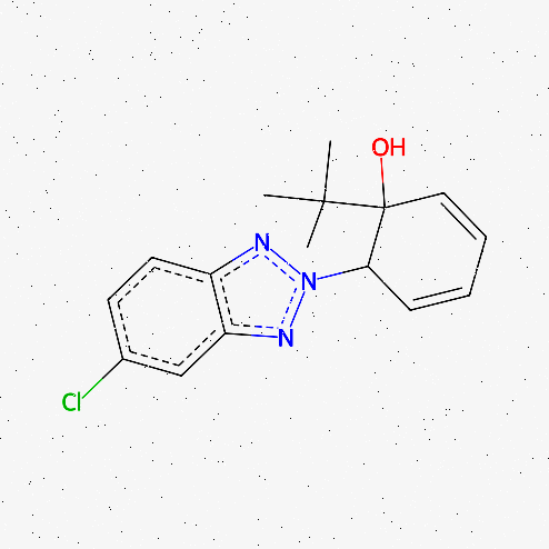 CC(C)(C)C1(O)C=CC=CC1n1nc2ccc(Cl)cc2n1